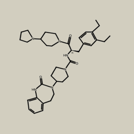 CCc1ccc(C[C@@H](NC(=O)N2CCC(N3CCc4ccccc4NC3=O)CC2)C(=O)N2CCC(N3CCCC3)CC2)cc1CC